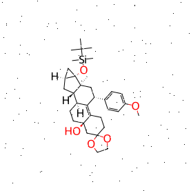 COc1ccc([C@H]2C[C@@]3(C)[C@@H](C[C@H]4C[C@]43O[Si](C)(C)C(C)(C)C)[C@@H]3CC[C@@]4(O)CC5(CCC4=C32)OCCO5)cc1